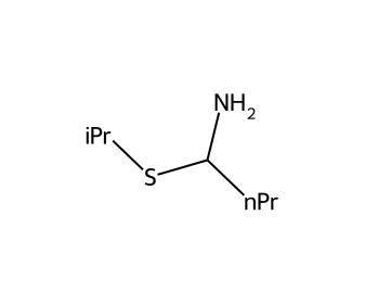 CCCC(N)SC(C)C